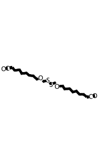 O=C=CCCCCCCCOCSSCOCCCCCCCC=C=O